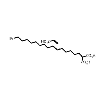 C=CC(=O)O.CC(C)CCCCCCCCCCCCCCCC(C(=O)O)C(=O)O